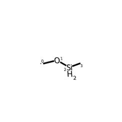 [CH2]O[SiH2]C